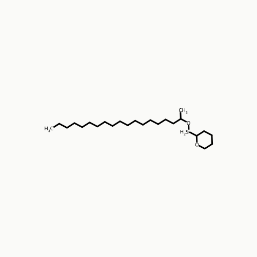 CCCCCCCCCCCCCCCCCC(C)O[SiH2]C1CCCCO1